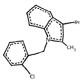 Cc1c(C(C)C)c2ccccc2n1Cc1ccccc1Cl